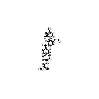 Cc1ccc(C(=O)N2CCC3(CCN(CCC(=O)O)CC3)CC2)cc1N1CCC(=O)NC1=O